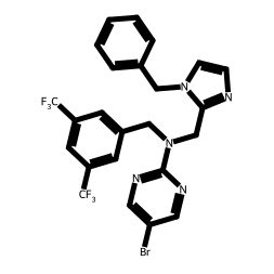 FC(F)(F)c1cc(CN(Cc2nccn2Cc2ccccc2)c2ncc(Br)cn2)cc(C(F)(F)F)c1